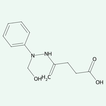 C=C(CCC(=O)O)NN(CO)c1ccccc1